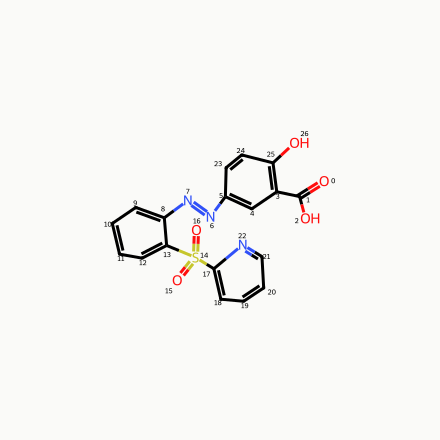 O=C(O)c1cc(/N=N/c2ccccc2S(=O)(=O)c2ccccn2)ccc1O